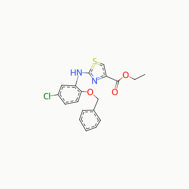 CCOC(=O)c1csc(Nc2cc(Cl)ccc2OCc2ccccc2)n1